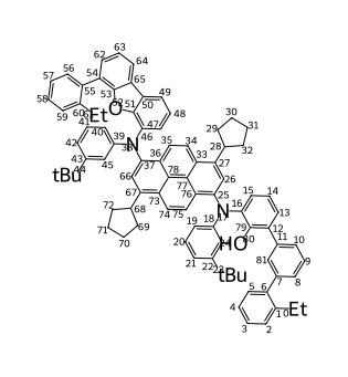 CCc1ccccc1-c1cccc(-c2cccc(N(c3cccc(C(C)(C)C)c3)c3cc(C4CCCC4)c4ccc5c(N(c6cccc(C(C)(C)C)c6)c6cccc7c6oc6c(-c8ccccc8CC)cccc67)cc(C6CCCC6)c6ccc3c4c65)c2O)c1